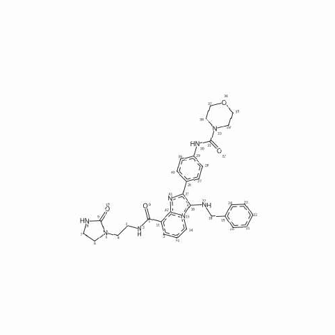 O=C(NCCN1CCNC1=O)c1cccn2c(NCc3ccccc3)c(-c3ccc(NC(=O)N4CCOCC4)cc3)nc12